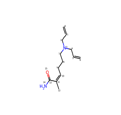 C=CCN(CC=C)CCCC=C(C)C(N)=O